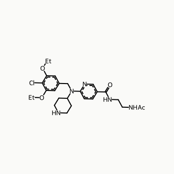 CCOc1cc(CN(c2ccc(C(=O)NCCNC(C)=O)cn2)C2CCNCC2)cc(OCC)c1Cl